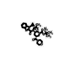 CC(C)CN(C(=O)c1nc2ccccc2n1C1CC1)[C@H]1C[C@@H](C(=O)N2CCOCC2)CN(C(=O)OC(C)(C)C)C1